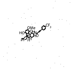 C=CC[N+]1(CC(C)C)CC[C@]23c4c5c(O)cc(OC)c4O[C@H]2[C@@H](NC(=O)C#Cc2ccc(C(F)(F)F)cc2)CC[C@H]3[C@H]1C5